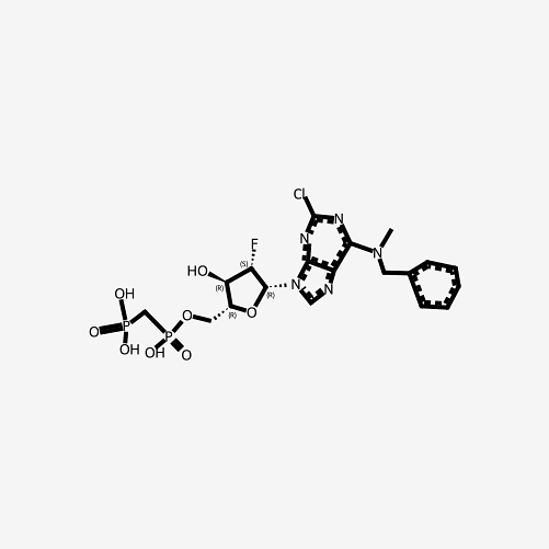 CN(Cc1ccccc1)c1nc(Cl)nc2c1ncn2[C@@H]1O[C@H](COP(=O)(O)CP(=O)(O)O)[C@@H](O)[C@@H]1F